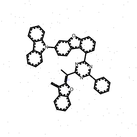 C=c1/c(=C(\C)c2nc(-c3ccccc3)nc(-c3cccc4oc5cc(-n6c7ccccc7c7ccccc76)ccc5c34)n2)oc2ccccc12